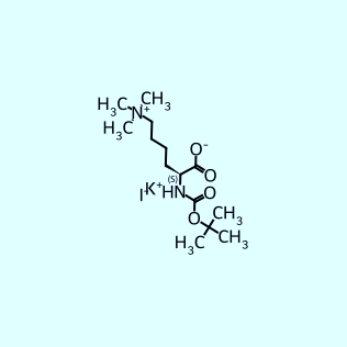 CC(C)(C)OC(=O)N[C@@H](CCCC[N+](C)(C)C)C(=O)[O-].[I-].[K+]